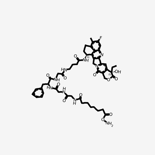 CC[C@@]1(O)C(=O)OCc2c1cc1n(c2=O)Cc2c-1nc1cc(F)c(C)c3c1c2[C@@H](NC(=O)CCCNC(=O)CNC(=O)C(Cc1ccccc1)NC(=O)CNC(=O)CNC(=O)CCCCCCC(=O)ON)CC3